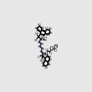 C[N+]1=C(/C=C/C=C/C=C2\N(CCOC=O)c3ccc4ccccc4c3C2(C)C)C(C)(C)c2c1c1ccccc1c1ccccc21